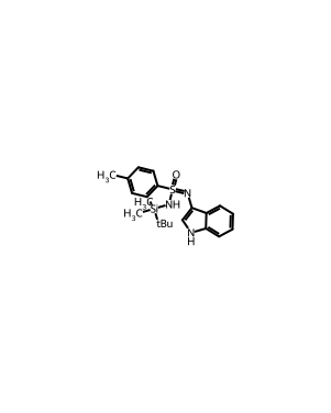 Cc1ccc(S(=O)(=Nc2c[nH]c3ccccc23)N[Si](C)(C)C(C)(C)C)cc1